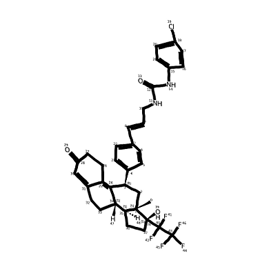 C[C@]12C[C@H](c3ccc(C=CCNC(=O)Nc4ccc(Cl)cc4)cc3)C3=C4CCC(=O)C=C4CC[C@H]3[C@@H]1CC[C@@]2(O)C(F)(F)C(F)(F)F